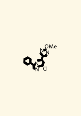 COc1ncc(-c2cc(Cl)c3ncc(-c4ccccc4)n3c2)cn1